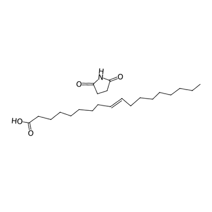 CCCCCCCCC=CCCCCCCCC(=O)O.O=C1CCC(=O)N1